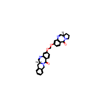 O=C1c2ccc(OCOc3ccc4c(c3)N=C[C@@H]3Cc5ccccc5CN3C4=O)cc2N=C[C@@H]2CCCN12